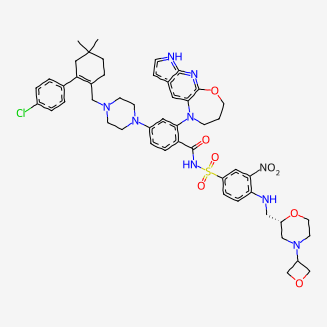 CC1(C)CCC(CN2CCN(c3ccc(C(=O)NS(=O)(=O)c4ccc(NC[C@H]5CN(C6COC6)CCO5)c([N+](=O)[O-])c4)c(N4CCCOc5nc6[nH]ccc6cc54)c3)CC2)=C(c2ccc(Cl)cc2)C1